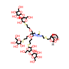 OCC1O[C@H](SCCCOCC(CNC(=S)NCCSCC2O[C@@H]3OCCCCCC2[C@H](O)C3O)(COCCCS[C@@H]2OC(CO)[C@@H](O[C@@H]3OC(CO)[C@H](O)[C@H](O)C3O)[C@H](O)C2O)COCCCS[C@@H]2OC(CO)[C@@H](O[C@@H]3OC(CO)[C@H](O)[C@H](O)C3O)[C@H](O)C2O)C(O)[C@@H](O)[C@@H]1O